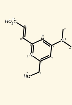 CN(C)c1cc(CO)nc(C=CC(=O)O)n1